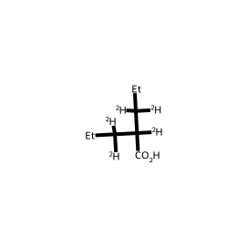 [2H]C([2H])(CC)C([2H])(C(=O)O)C([2H])([2H])CC